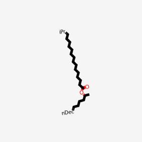 CCCCCCCCCCCCCCC(C)OC(=O)CCCCCCCCCCCCCCC(C)C